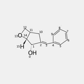 O[C@H]1/C(=C/c2ccccc2)CC2CO[C@H]21